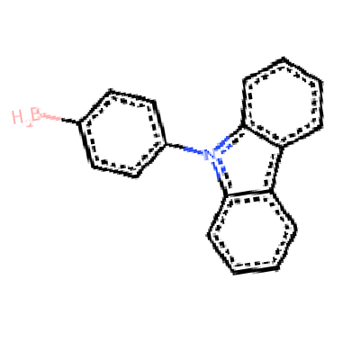 Bc1ccc(-n2c3ccccc3c3ccccc32)cc1